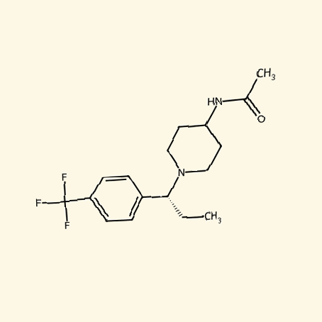 CC[C@H](c1ccc(C(F)(F)F)cc1)N1CCC(NC(C)=O)CC1